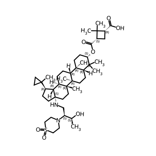 C[C@H](O)[C@H](CN[C@]12CC[C@@H](C3(C)CC3)[C@@H]1[C@H]1CC[C@@H]3[C@@]4(C)CC[C@H](OC(=O)[C@H]5C[C@@H](C(=O)O)C5(C)C)C(C)(C)[C@@H]4CC[C@@]3(C)[C@]1(C)CC2)N1CCS(=O)(=O)CC1